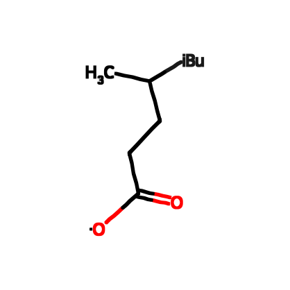 CCC(C)C(C)CCC([O])=O